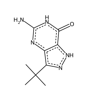 CC(C)(C)c1n[nH]c2c(=O)[nH]c(N)nc12